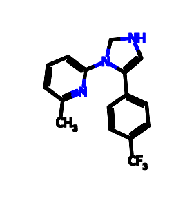 Cc1cccc(N2CNC=C2c2ccc(C(F)(F)F)cc2)n1